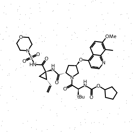 C=C[C@@H]1C[C@]1(NC(=O)[C@@H]1C[C@@H](Oc2ccnc3c(C)c(OC)ccc23)CN1C(=O)[C@@H](NC(=O)OC1CCCC1)C(C)(C)C)C(=O)NS(=O)(=O)N1CCOCC1